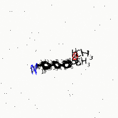 CO[SiH](C)c1ccc(-c2ccc(-c3ccc(C#N)cc3)cc2)cc1